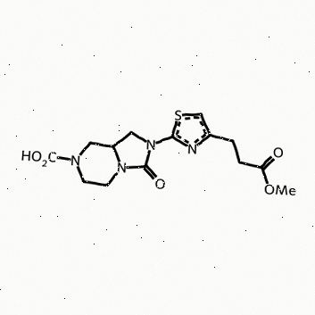 COC(=O)CCc1csc(N2CC3CN(C(=O)O)CCN3C2=O)n1